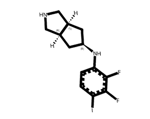 Fc1c(I)ccc(N[C@H]2C[C@H]3CNC[C@H]3C2)c1F